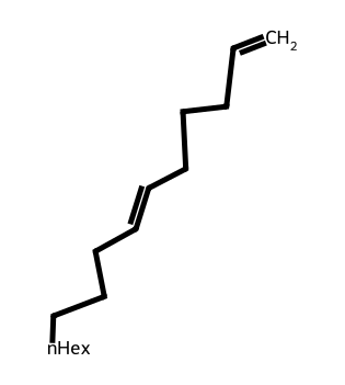 [CH2]CCCCCCCCC=CCCCC=C